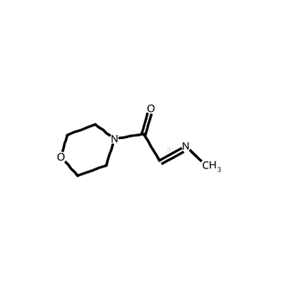 C/N=C/C(=O)N1CCOCC1